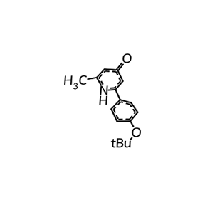 Cc1cc(=O)cc(-c2ccc(OC(C)(C)C)cc2)[nH]1